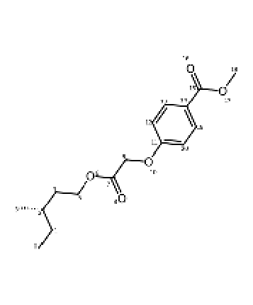 CC[C@H](C)CCOC(=O)COc1ccc(C(=O)OC)cc1